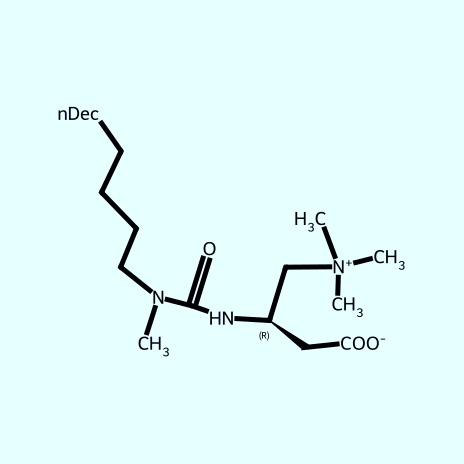 CCCCCCCCCCCCCCN(C)C(=O)N[C@H](CC(=O)[O-])C[N+](C)(C)C